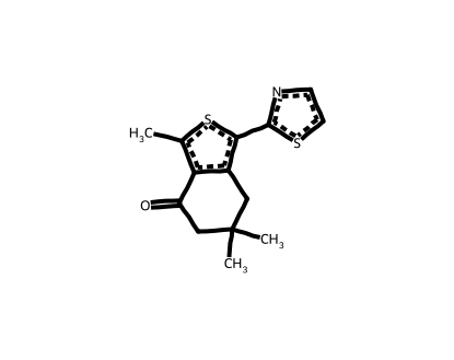 Cc1sc(-c2nccs2)c2c1C(=O)CC(C)(C)C2